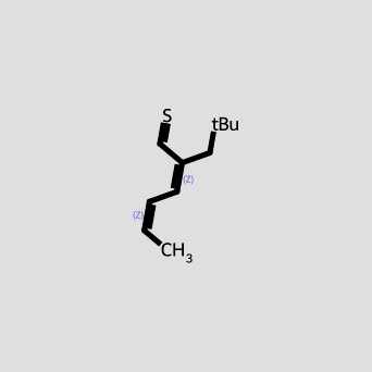 C/C=C\C=C(/C=S)CC(C)(C)C